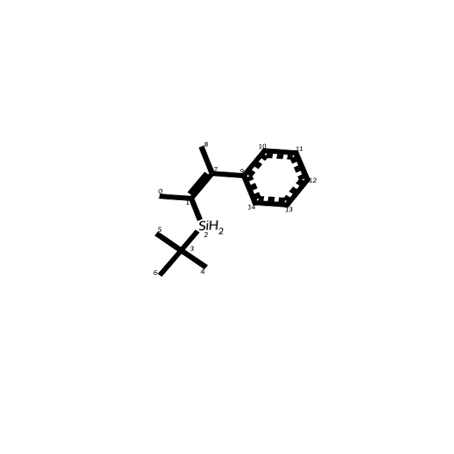 CC([SiH2]C(C)(C)C)=C(C)c1ccccc1